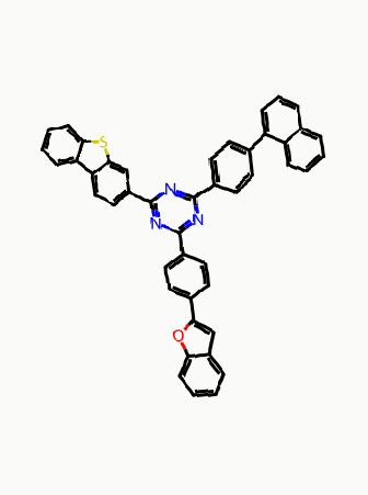 c1ccc2oc(-c3ccc(-c4nc(-c5ccc(-c6cccc7ccccc67)cc5)nc(-c5ccc6c(c5)sc5ccccc56)n4)cc3)cc2c1